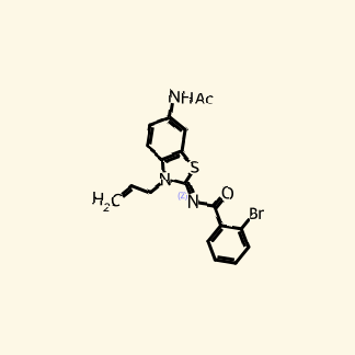 C=CCn1/c(=N/C(=O)c2ccccc2Br)sc2cc(NC(C)=O)ccc21